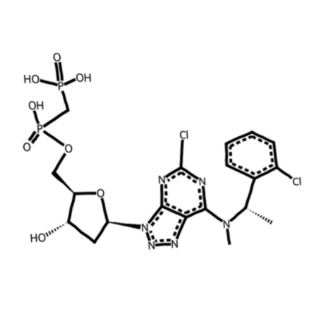 C[C@@H](c1ccccc1Cl)N(C)c1nc(Cl)nc2c1nnn2[C@H]1C[C@H](O)[C@@H](COP(=O)(O)CP(=O)(O)O)O1